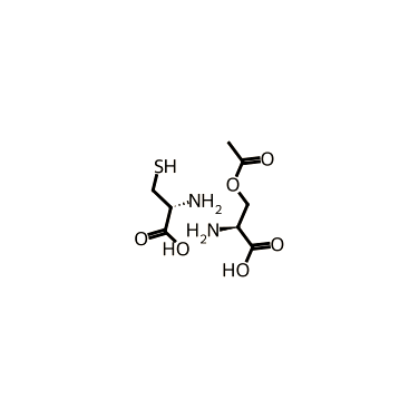 CC(=O)OC[C@H](N)C(=O)O.N[C@@H](CS)C(=O)O